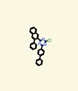 Clc1nc(-c2ccc(-c3ccccc3)cc2)nc(-c2cc3ccccc3cc2-c2ccccc2)n1